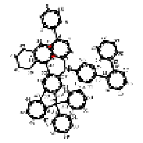 c1ccc(-c2ccc(N(c3ccc(-c4ccccc4-c4ccccc4)cc3)c3cc4c(cc3-c3cccc5c3CCCC5)-c3ccccc3C4(c3ccccc3)c3ccccc3)cc2)cc1